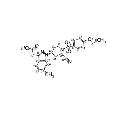 CCOc1ccc(S(=O)(=O)N2CCC(n3nc(CC(=O)O)c4ccc(C)cc43)CC2C#N)cc1